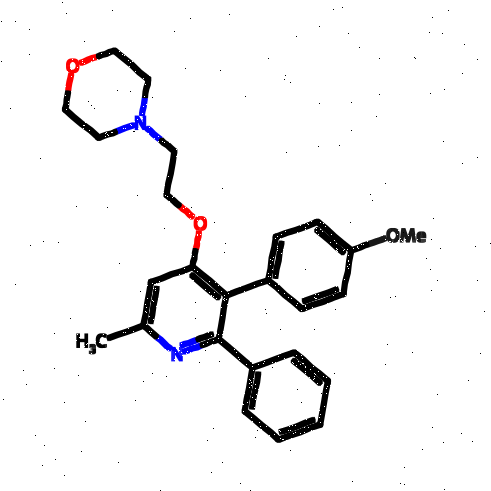 COc1ccc(-c2c(OCCN3CCOCC3)cc(C)nc2-c2ccccc2)cc1